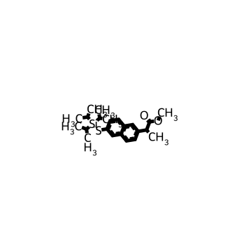 COC(=O)C(C)c1ccc2cc(S[Si](C(C)C)(C(C)C)C(C)C)ccc2c1